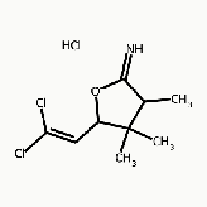 CC1C(=N)OC(C=C(Cl)Cl)C1(C)C.Cl